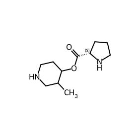 CC1CNCCC1OC(=O)[C@@H]1CCCN1